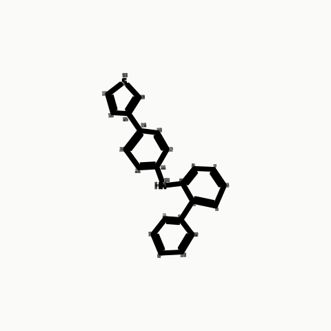 c1ccc(-c2ccccc2Nc2ccc(-c3ccsc3)cc2)cc1